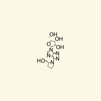 OC[C@@H]1CCCN1c1ncnc2c1ncn2[C@@H]1O[C@H](CO)[C@H](O)C1O